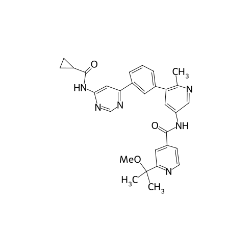 COC(C)(C)c1cc(C(=O)Nc2cnc(C)c(-c3cccc(-c4cc(NC(=O)C5CC5)ncn4)c3)c2)ccn1